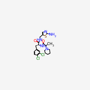 CC(C(=O)N[C@@H](Cc1ccc(Cl)c(Cl)c1)C(=O)NCc1cnc(N)s1)N1CCCCC1